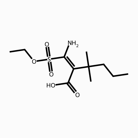 CCCC(C)(C)C(C(=O)O)=C(N)S(=O)(=O)OCC